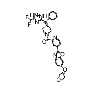 O=C(c1cc(-c2nc3ccc(O[C@H]4CCOC4)cc3o2)ccn1)N1CCN([C@@H](C2=NN(C(F)F)NN2)c2ccccc2)CC1